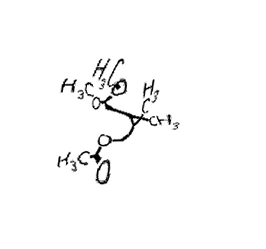 COC(OC)C1C(COC(C)=O)C1(C)C